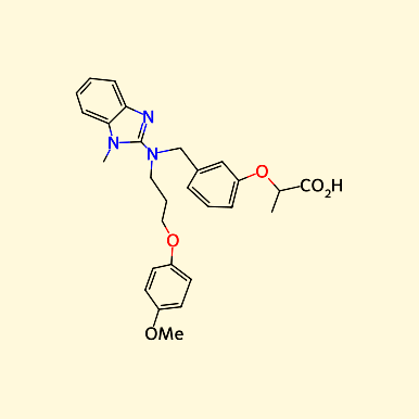 COc1ccc(OCCCN(Cc2cccc(OC(C)C(=O)O)c2)c2nc3ccccc3n2C)cc1